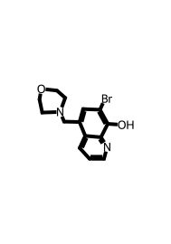 Oc1c(Br)cc(CN2CCOCC2)c2cccnc12